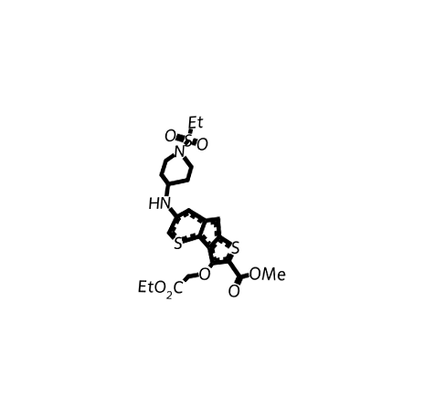 CCOC(=O)COc1c(C(=O)OC)sc2cc3cc(NC4CCN(S(=O)(=O)CC)CC4)csc-3c12